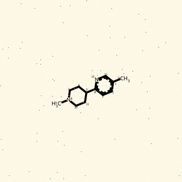 Cc1ccc(C2CCN(C)CC2)nc1